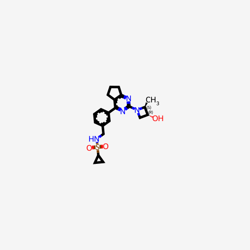 C[C@H]1[C@H](O)CN1c1nc2c(c(-c3cccc(CNS(=O)(=O)C4CC4)c3)n1)CCC2